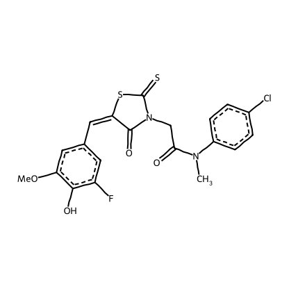 COc1cc(C=C2SC(=S)N(CC(=O)N(C)c3ccc(Cl)cc3)C2=O)cc(F)c1O